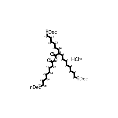 CCCCCCCCCCCCCCCCCCC(CCCCCCCCCCCCCCCC)C(=O)OC(=O)CCCCCCCCCCCCCCCCC.Cl